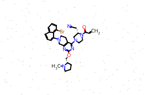 C=CC(=O)N1CCN(c2nc(OC[C@@H]3CCCN3C)nc3c2CCN(c2cccc4cccc(Br)c24)C3)C[C@@H]1CC#N